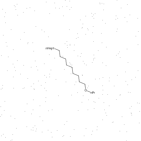 [CH2]CCCCCCCCCCCCCCCOCCC